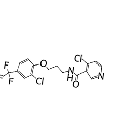 O=C(NCCCOc1ccc(C(F)(F)F)cc1Cl)c1cnccc1Cl